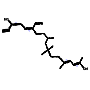 C=C/C(=C\C=C(\O)C=C)CCC(C)CC(C)(C)CC/C(C)=C/C=C(\C)O